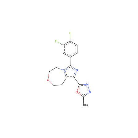 CC(C)(C)c1nnc(-c2nc(-c3ccc(F)c(F)c3)n3c2CCOCC3)o1